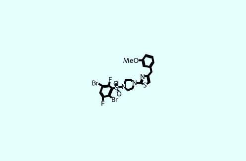 COc1cccc(Cc2csc(N3CCN(S(=O)(=O)c4c(F)c(Br)cc(F)c4Br)CC3)n2)c1